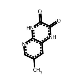 Cc1cnc2[nH]c(=O)c(=O)[nH]c2c1